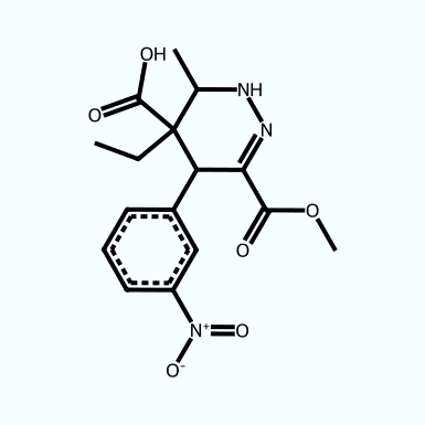 CCC1(C(=O)O)C(C)NN=C(C(=O)OC)C1c1cccc([N+](=O)[O-])c1